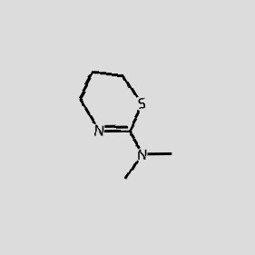 CN(C)C1=NCCCS1